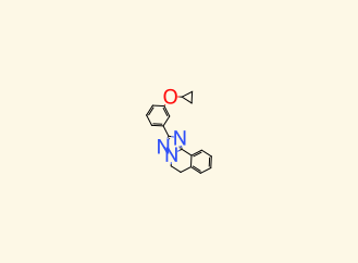 c1cc(OC2CC2)cc(-c2nc3n(n2)CCc2ccccc2-3)c1